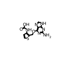 Nc1nc(OCc2sccc2NC(=O)O)c2nc[nH]c2n1